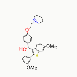 COc1cccc(-c2sc3cc(OC)ccc3c2C(O)c2ccc(OCCN3CCCCC3)cc2)c1